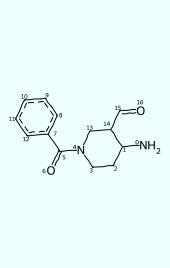 NC1CCN(C(=O)c2ccccc2)CC1C=O